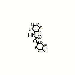 CC1CCC(OC(=O)NC2CCCCC2)CC1